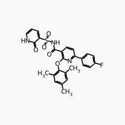 Cc1cc(C)c(Oc2nc(-c3ccc(F)cc3)ccc2C(=O)NS(=O)(=O)c2ccc[nH]c2=O)c(C)c1